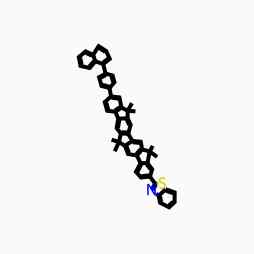 CC1(C)c2cc(-c3ccc(-c4cccc5ccccc45)cc3)ccc2-c2cc3c(cc21)-c1cc2c(cc1C3(C)C)-c1ccc(-c3nc4ccccc4s3)cc1C2(C)C